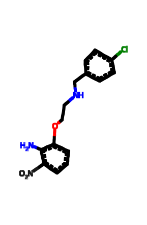 Nc1c(OCCNCc2ccc(Cl)cc2)cccc1[N+](=O)[O-]